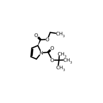 CCOC(=O)[C@@H]1C=CCN1C(=O)OC(C)(C)C